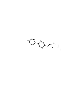 Cc1cc(-c2ccc(N)cc2)c(C)cc1/C=C/S(=O)(=O)NC(C)C